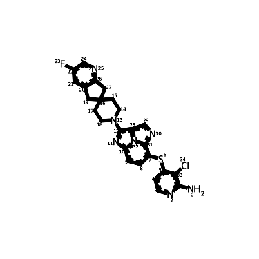 Nc1nccc(Sc2ccc3nc(N4CCC5(CC4)Cc4cc(F)cnc4C5)c4cnc2n34)c1Cl